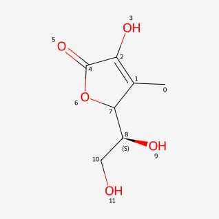 CC1=C(O)C(=O)OC1[C@@H](O)CO